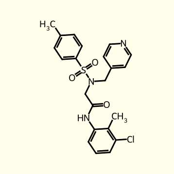 Cc1ccc(S(=O)(=O)N(CC(=O)Nc2cccc(Cl)c2C)Cc2ccncc2)cc1